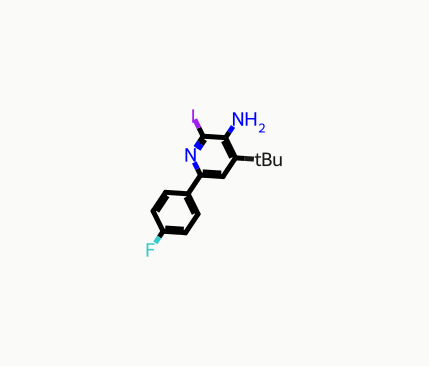 CC(C)(C)c1cc(-c2ccc(F)cc2)nc(I)c1N